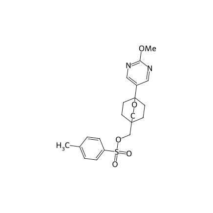 COc1ncc(C23CCC(COS(=O)(=O)c4ccc(C)cc4)(CC2)CO3)cn1